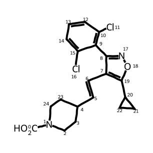 O=C(O)N1CCC(/C=C/c2c(-c3c(Cl)cccc3Cl)noc2C2CC2)CC1